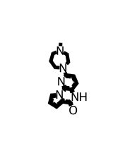 CN1CCCN(c2ccc3[nH]c(=O)c4cccn4c3n2)CC1